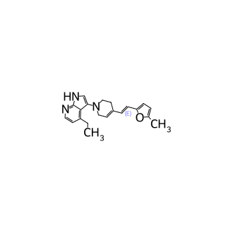 CCc1ccnc2[nH]cc(N3CC=C(/C=C/c4ccc(C)o4)CC3)c12